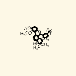 COc1c(O)ccc2c1-c1ccc3c(c1C(c1cccc(C(F)(F)F)c1)O2)C(C)=CC(C)(C)N3